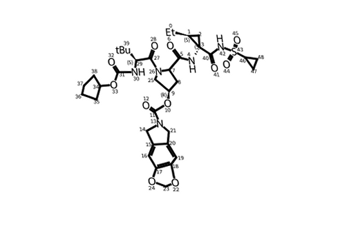 CC[C@H]1C[C@@]1(NC(=O)C1C[C@@H](OC(=O)N2Cc3cc4c(cc3C2)OCO4)CN1C(=O)[C@@H](NC(=O)OC1CCCC1)C(C)(C)C)C(=O)NS(=O)(=O)C1CC1